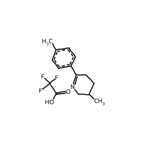 Cc1ccc(C2=NCC(C)CC2)cc1.O=C(O)C(F)(F)F